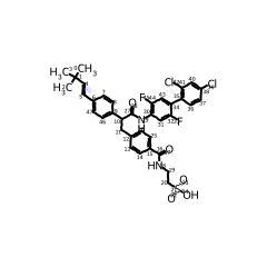 CC(C)(C)/C=C/c1ccc(C(Cc2ccc(C(=O)NCCS(=O)(=O)O)cc2)C(=O)Nc2cc(F)c(-c3ccc(Cl)cc3Cl)cc2F)cc1